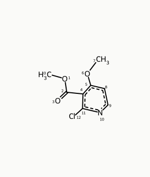 COC(=O)c1c(OC)ccnc1Cl